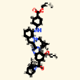 CCOC(=O)c1ccc(Nc2cccc3cc(-c4nc5cc(C(=O)N6CC7CCC6[C@@H]7C)cc(OC)c5n4C)n(CC4CC4)c23)cc1